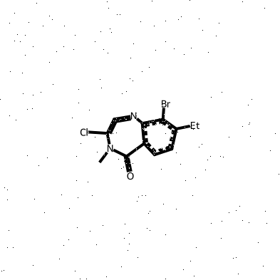 CCc1ccc2c(c1Br)N=C=C(Cl)N(C)C2=O